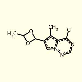 Cc1c(C2OC(C)O2)cn2ncnc(Cl)c12